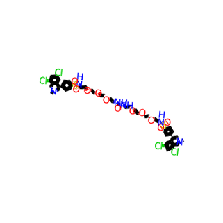 CN1Cc2c(Cl)cc(Cl)cc2[C@H](c2ccc(S(=O)(=O)NCCOCCOCCOCCNC(=O)NCCOCCOCCOCCNS(=O)(=O)c3ccc([C@@H]4CN(C)Cc5c(Cl)cc(Cl)cc54)cc3)cc2)C1